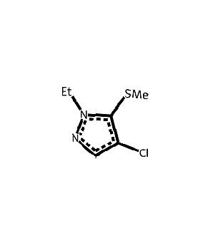 CCn1n[c]c(Cl)c1SC